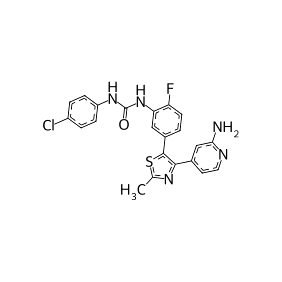 Cc1nc(-c2ccnc(N)c2)c(-c2ccc(F)c(NC(=O)Nc3ccc(Cl)cc3)c2)s1